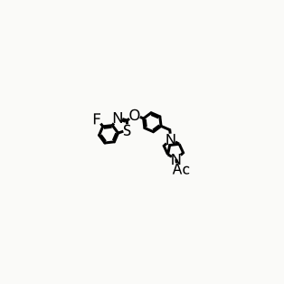 CC(=O)N1CC2CC1CN2Cc1ccc(Oc2nc3c(F)cccc3s2)cc1